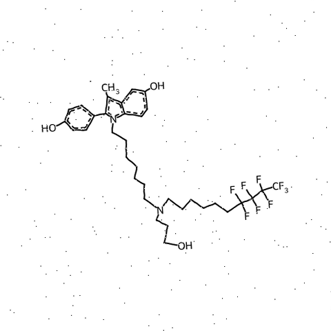 Cc1c(-c2ccc(O)cc2)n(CCCCCCCN(CCCO)CCCCCCC(F)(F)C(F)(F)C(F)(F)C(F)(F)F)c2ccc(O)cc12